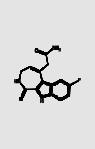 NC(=O)CC1=CCNC(=O)c2[nH]c3ccc(F)cc3c21